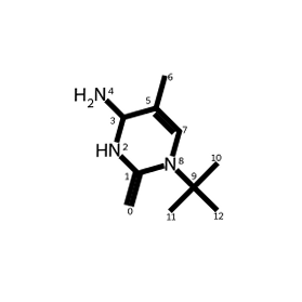 C=C1NC(N)C(C)=CN1C(C)(C)C